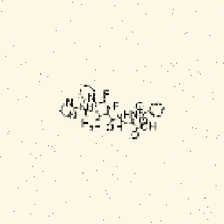 Cc1c(F)c(N2CCCCC2Nc2ncccn2)c(F)c(F)c1C(=O)NC[C@H](NS(=O)(=O)c1ccccc1)C(=O)O